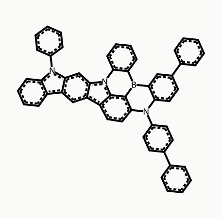 c1ccc(-c2ccc(N3c4ccc(-c5ccccc5)cc4B4c5ccccc5-n5c6cc7c(cc6c6ccc3c4c65)c3ccccc3n7-c3ccccc3)cc2)cc1